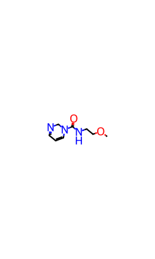 COCCNC(=O)N1C=CC=NC1